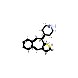 C1=c2ccccc2=Cc2ccsc2C1=C1CCNCC1